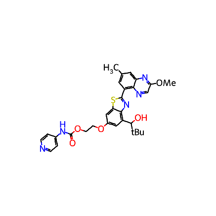 COc1cnc2c(-c3nc4c(C(O)C(C)(C)C)cc(OCCOC(=O)Nc5ccncc5)cc4s3)cc(C)cc2n1